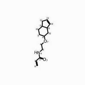 C=CC(=O)NCCOC1CCC2CC=CC2C1